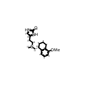 COc1cccc2c1CCC[C@H]2CN(C)CCc1c[nH]c(=O)[nH]1